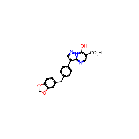 O=C(O)c1cnc2c(-c3ccc(Cc4ccc5c(c4)OCO5)cc3)cnn2c1O